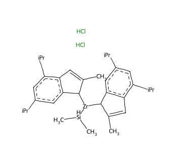 CC1=Cc2c(C(C)C)cc(C(C)C)cc2[CH]1[Zr]([CH]1C(C)=Cc2c(C(C)C)cc(C(C)C)cc21)[SiH](C)C.Cl.Cl